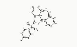 Cc1ccc(S(=O)(=O)OCC2=c3ccccc3=CC=C3CC=CC=C32)cc1